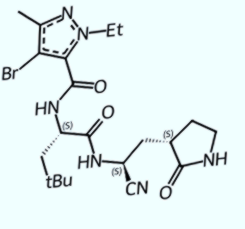 CCn1nc(C)c(Br)c1C(=O)N[C@@H](CC(C)(C)C)C(=O)N[C@H](C#N)C[C@@H]1CCNC1=O